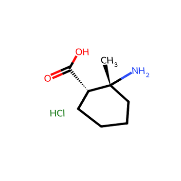 C[C@@]1(N)CCCC[C@@H]1C(=O)O.Cl